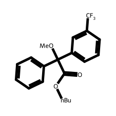 CCCCOC(=O)C(OC)(c1ccccc1)c1cccc(C(F)(F)F)c1